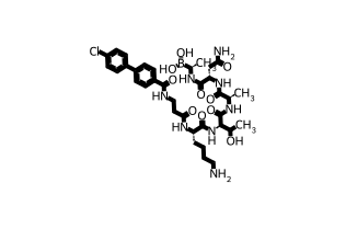 CC(O)[C@H](NC(=O)[C@H](CCCCN)NC(=O)CCNC(=O)c1ccc(-c2ccc(Cl)cc2)cc1)C(=O)N[C@@H](C)C(=O)N[C@@H](CC(N)=O)C(=O)N[C@@H](C)B(O)O